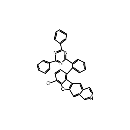 Clc1ccc(-c2ccccc2-c2nc(-c3ccccc3)nc(-c3ccccc3)n2)c2c1oc1cc3cnccc3cc12